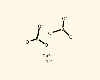 [Ga+3].[O-]B([O-])[O-].[O-]B([O-])[O-].[Y+3]